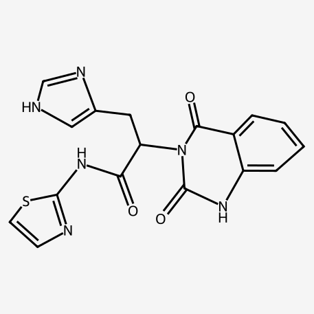 O=C(Nc1nccs1)C(Cc1c[nH]cn1)n1c(=O)[nH]c2ccccc2c1=O